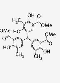 COC(=O)c1cc(C(c2cc(C)c(O)c(C(=O)OC)c2)c2cc(C(=O)OC)c(O)c(C)c2O)cc(C)c1O